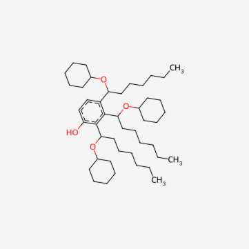 CCCCCCC(OC1CCCCC1)c1ccc(O)c(C(CCCCCC)OC2CCCCC2)c1C(CCCCCC)OC1CCCCC1